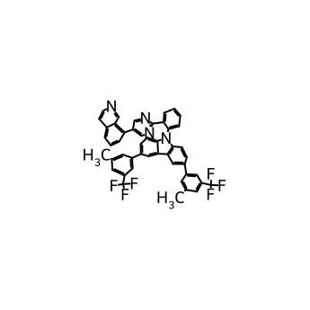 Cc1cc(-c2ccc3c(c2)c2cc(-c4cc(C)cc(C(F)(F)F)c4)ccc2n3-c2ccccc2-c2ncc(-c3cccc4ccncc34)cn2)cc(C(F)(F)F)c1